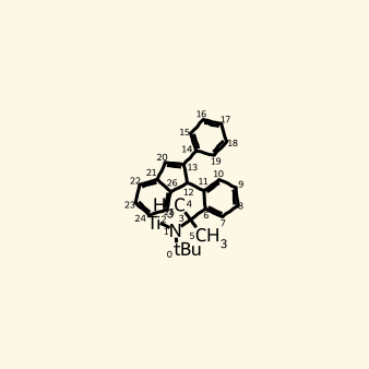 CC(C)(C)[N]([Ti])C(C)(C)c1ccccc1C1C(c2ccccc2)=Cc2ccccc21